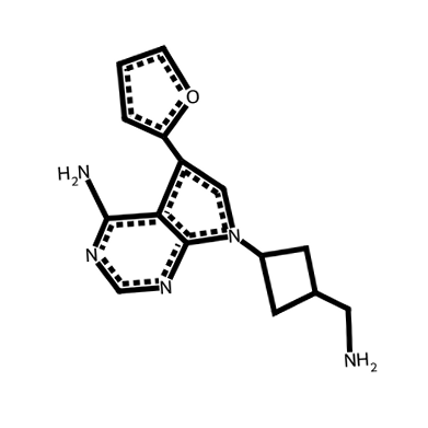 NCC1CC(n2cc(-c3ccco3)c3c(N)ncnc32)C1